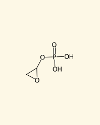 O=P(O)(O)OC1CO1